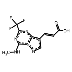 CNc1nc(C(F)(F)F)nc2c(C=CC(=O)O)cnn12